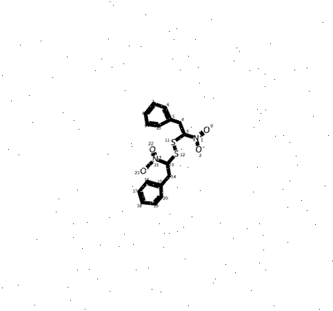 O=[N+]([O-])C(Cc1ccccc1)SSC(Cc1ccccc1)[N+](=O)[O-]